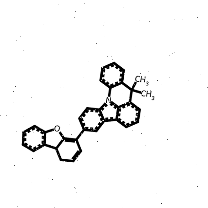 CC1(C)c2ccccc2-n2c3ccc(C4=C5Oc6ccccc6C5CC=C4)cc3c3cccc1c32